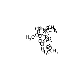 C=CCOc1cc(Cl)c(Cl)cc1C(=O)[C@@H]1CCC(/C=C\COc2cc(Cl)c(Cl)cc2C(=O)[C@@H]2CCCN(C(=O)OC(C)(C)C)C2)N(C(=O)OC(C)(C)C)C1